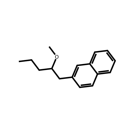 CCCC(Cc1ccc2ccccc2c1)OC